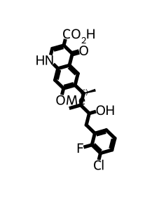 COc1cc2[nH]cc(C(=O)O)c(=O)c2cc1[C@@H](C)C(C)C(O)Cc1cccc(Cl)c1F